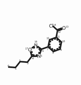 CCCCc1nc(-c2cccc(C(=O)Cl)c2)no1